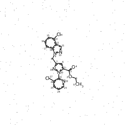 CCOC(=O)c1cc(Cn2ncc3c(Cl)cccc32)nn1-c1ncccc1Cl